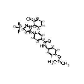 CC(C)Oc1ccc(NC(=O)c2ccc(-c3cc(C(F)(F)F)nn3-c3ccccc3Cl)cc2)cc1